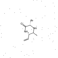 C=CCC(C)N[C@H](C(N)=O)C(C)C